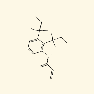 C=CC(=O)Oc1cccc(C(C)(C)CC)c1C(C)(C)CC